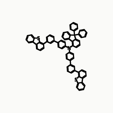 c1ccc(C2(c3ccccc3)c3ccccc3-c3c(N(c4ccc(-c5cccc(-c6cccc7c6sc6ccccc67)c5)cc4)c4ccc(-c5cccc(-c6cccc7c6sc6ccccc67)c5)cc4)cccc32)cc1